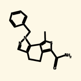 Cc1sc(C(N)=O)c2c1-c1c(cnn1Cc1ccccc1)CC2